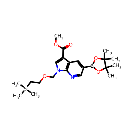 COC(=O)c1cn(COCC[Si](C)(C)C)c2ncc(B3OC(C)(C)C(C)(C)O3)cc12